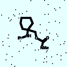 CNC(=O)OCC1(NC(C)C)CCCCC1